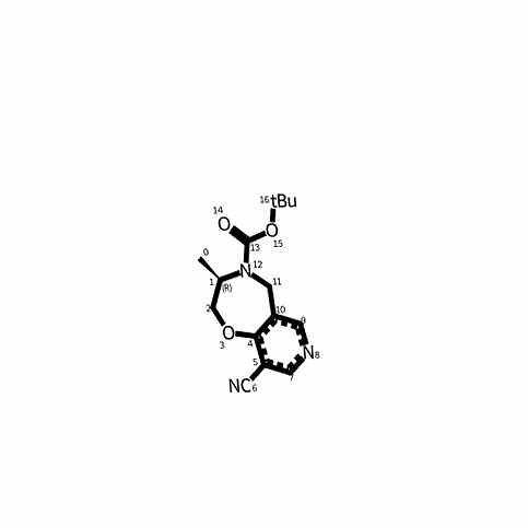 C[C@@H]1COc2c(C#N)cncc2CN1C(=O)OC(C)(C)C